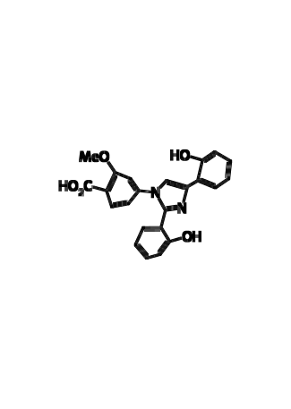 COc1cc(-n2cc(-c3ccccc3O)nc2-c2ccccc2O)ccc1C(=O)O